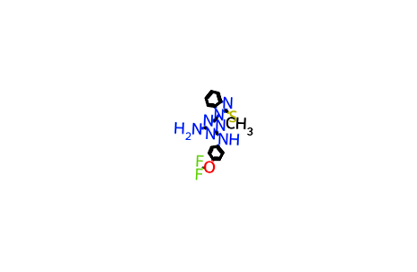 CSc1nc2ccccc2n1-c1nc(N)nc(Nc2ccc(OC(F)F)cc2)n1